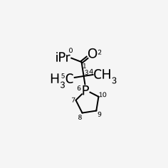 CC(C)C(=O)C(C)(C)P1CCCC1